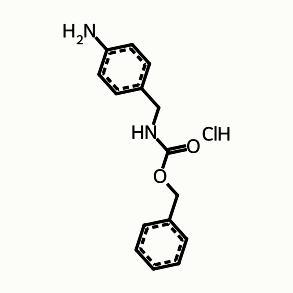 Cl.Nc1ccc(CNC(=O)OCc2ccccc2)cc1